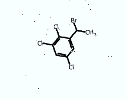 CC(Br)c1cc(Cl)cc(Cl)c1Cl